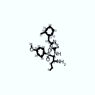 CCCC(N)C(Nc1nc(Cc2ccccc2C)ns1)S(=O)(=O)c1ccc(OC)cc1